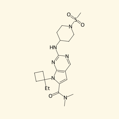 CCC1(n2c(C(=O)N(C)C)cc3cnc(NC4CCN(S(C)(=O)=O)CC4)nc32)CCC1